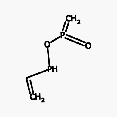 C=CPOP(=C)=O